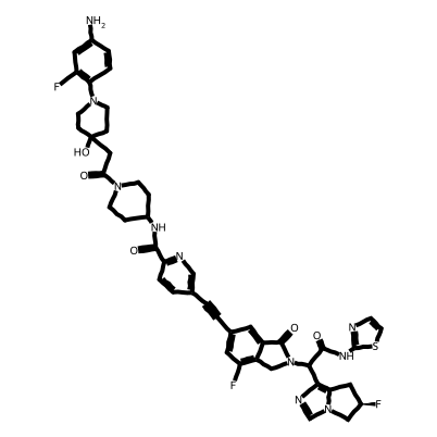 Nc1ccc(N2CCC(O)(CC(=O)N3CCC(NC(=O)c4ccc(C#Cc5cc(F)c6c(c5)C(=O)N(C(C(=O)Nc5nccs5)c5ncn7c5C[C@@H](F)C7)C6)cn4)CC3)CC2)c(F)c1